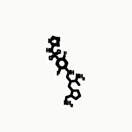 CC(N)C(CNc1cc(F)c(S(=O)(=O)Nc2ncns2)cc1F)CC1CCCC1CN